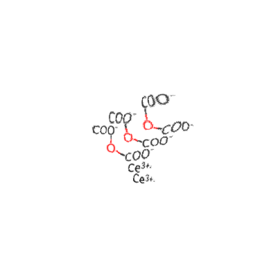 O=C([O-])OC(=O)[O-].O=C([O-])OC(=O)[O-].O=C([O-])OC(=O)[O-].[Ce+3].[Ce+3]